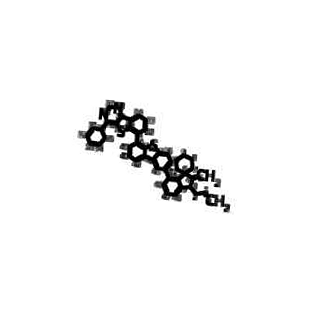 C=CCC1C(=C)C2(CCCCC2)c2c(-c3ccc4sc5c(-c6cccc7c6sc6c(C8C=CC=CC8)ncnc67)cccc5c4c3)cccc21